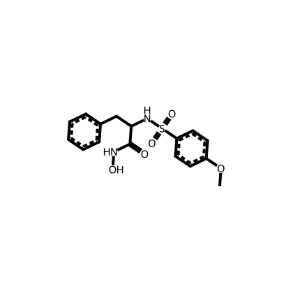 COc1ccc(S(=O)(=O)NC(Cc2ccccc2)C(=O)NO)cc1